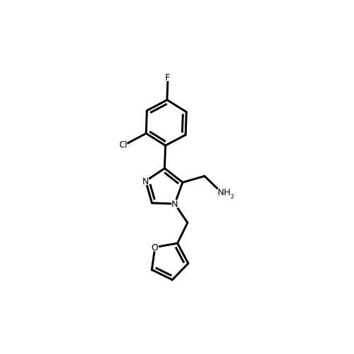 NCc1c(-c2ccc(F)cc2Cl)ncn1Cc1ccco1